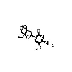 CC[C@]1(CO)OC(n2cc(OC)c(N)nc2=O)C[C@@H]1O